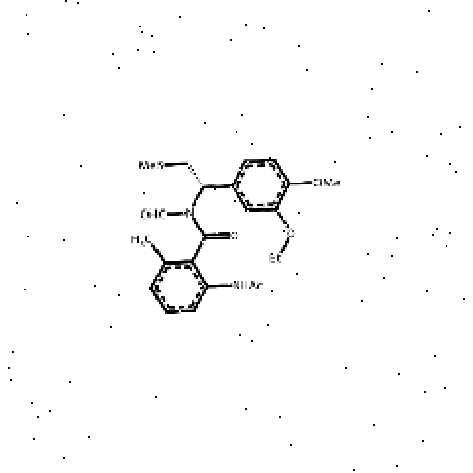 CCOc1cc([C@@H](CSC)N(C=O)C(=O)c2c(C)cccc2NC(C)=O)ccc1OC